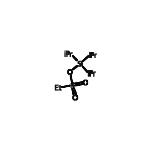 CCS(=O)(=O)O[Si](C(C)C)(C(C)C)C(C)C